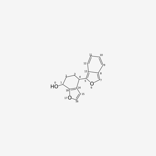 OC1CCC(c2occ3ccccc23)c2ccoc21